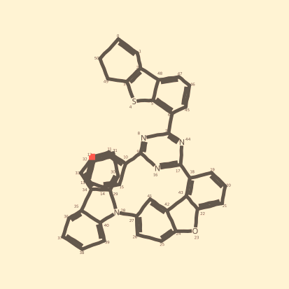 C1=Cc2c(sc3c(-c4nc(-c5ccccc5)nc(-c5cccc6oc7ccc(-n8c9ccccc9c9ccccc98)cc7c56)n4)cccc23)CC1